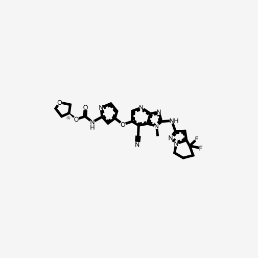 Cn1c(Nc2cc3n(n2)CCCC3(F)F)nc2ncc(Oc3ccnc(NC(=O)O[C@H]4CCOC4)c3)c(C#N)c21